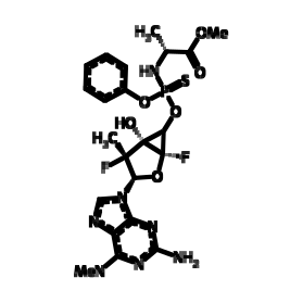 CNc1nc(N)nc2c1ncn2[C@@H]1O[C@]2(F)C(OP(=S)(N[C@H](C)C(=O)OC)Oc3ccccc3)[C@]2(O)[C@@]1(C)F